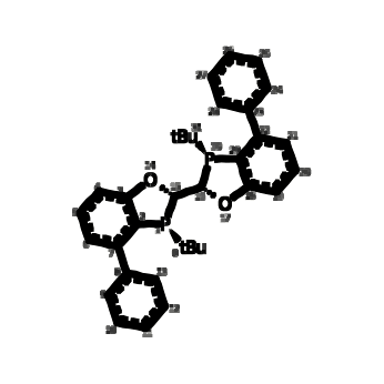 CC(C)(C)[P@@]1c2c(cccc2-c2ccccc2)O[C@@H]1[C@H]1Oc2cccc(-c3ccccc3)c2[P@]1C(C)(C)C